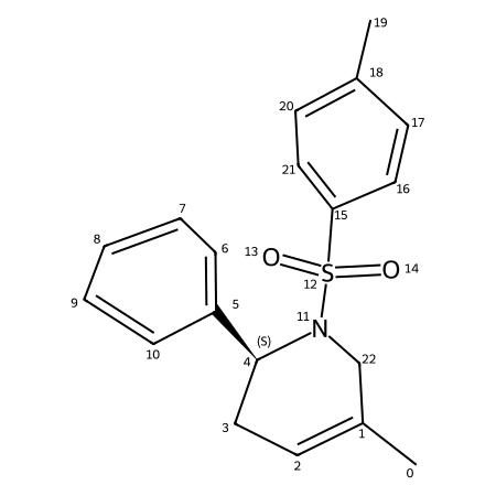 CC1=CC[C@@H](c2ccccc2)N(S(=O)(=O)c2ccc(C)cc2)C1